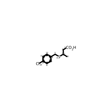 CC(CC(=O)O)SCc1ccc(Cl)cc1